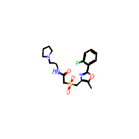 Cc1oc(-c2ccccc2F)nc1CS(=O)(=O)CC(=O)NCCN1CCCC1